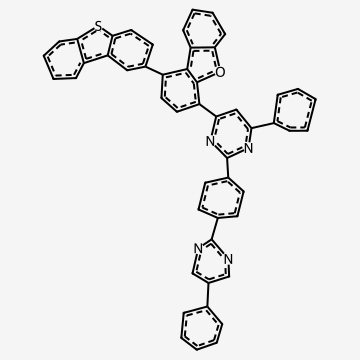 c1ccc(-c2cnc(-c3ccc(-c4nc(-c5ccccc5)cc(-c5ccc(-c6ccc7sc8ccccc8c7c6)c6c5oc5ccccc56)n4)cc3)nc2)cc1